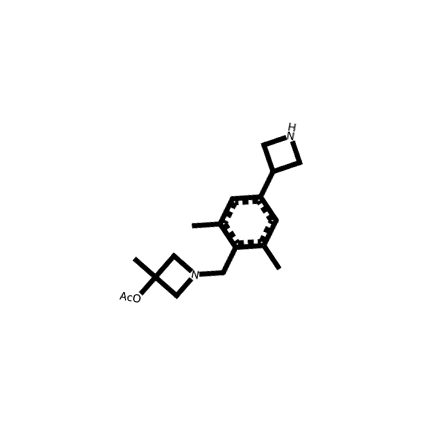 CC(=O)OC1(C)CN(Cc2c(C)cc(C3CNC3)cc2C)C1